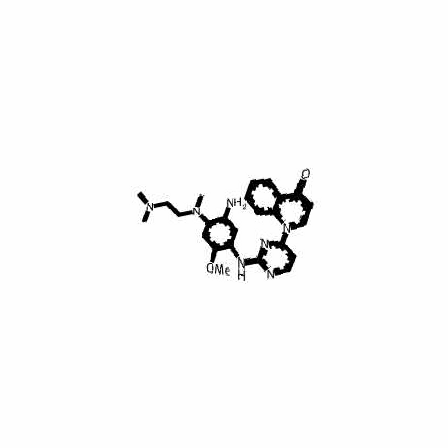 COc1cc(N(C)CCN(C)C)c(N)cc1Nc1nccc(-n2ccc(=O)c3ccccc32)n1